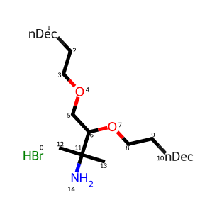 Br.CCCCCCCCCCCCOCC(OCCCCCCCCCCCC)C(C)(C)N